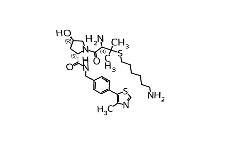 Cc1ncsc1-c1ccc(CNC(=O)[C@@H]2C[C@@H](O)CN2C(=O)[C@@H](N)C(C)(C)SCCCCCCN)cc1